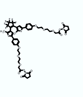 Cc1sc(-c2ccc(OCCOCCOCC(=O)ON3C(=O)CCC3=O)cc2)cc1C1=C(c2cc(-c3ccc(OCCOCCOCC(=O)ON4C(=O)CCC4=O)cc3)sc2C)C(F)(F)C(F)(F)C1(F)F